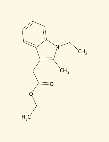 CCOC(=O)Cc1c(C)n(CC)c2ccccc12